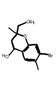 Cc1cc2c(cc1Br)OC(C)(CO)CC2O